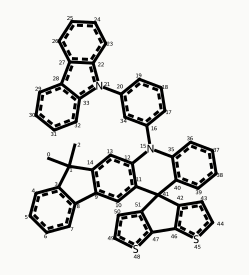 CC1(C)c2ccccc2-c2cc3c(cc21)N(c1cccc(-n2c4ccccc4c4ccccc42)c1)c1ccccc1C31c2ccsc2-c2sccc21